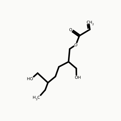 C=CC(=O)OCC(CO)CCC(CC)CO